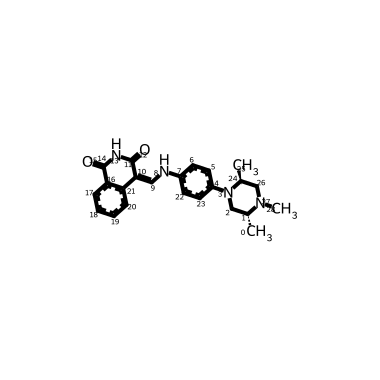 C[C@@H]1CN(c2ccc(NC=C3C(=O)NC(=O)c4ccccc43)cc2)[C@@H](C)CN1C